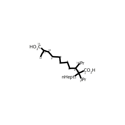 CCCCCCCC(C(=O)O)(C(C)C)C(CCCCCCC(C)C(=O)O)C(C)C